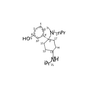 CCCN(C)C1(c2cccc(O)c2)CCC(NC(C)C)CC1